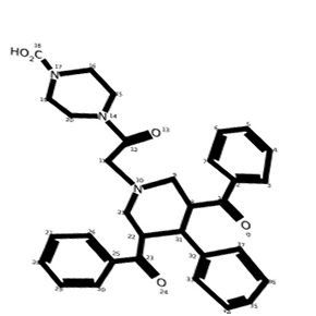 O=C(c1ccccc1)C1CN(CC(=O)N2CCN(C(=O)O)CC2)CC(C(=O)c2ccccc2)C1c1ccccc1